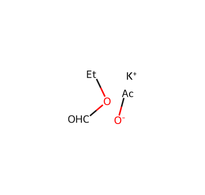 CC(=O)[O-].CCOC=O.[K+]